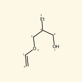 C=COCC(CC)CO